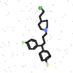 Fc1ccc(C(CCCN2CCC(CCCl)CC2)c2ccc(F)cc2)cc1